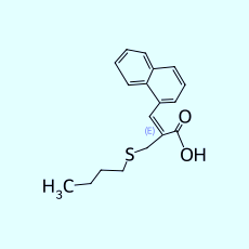 CCCCSC/C(=C/c1cccc2ccccc12)C(=O)O